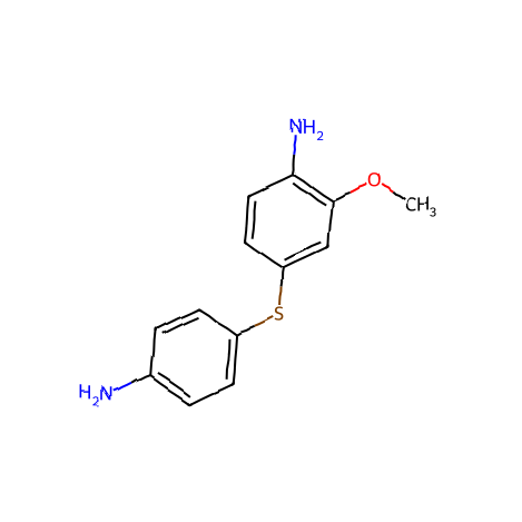 COc1cc(Sc2ccc(N)cc2)ccc1N